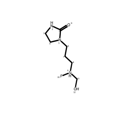 O=C1NCCN1CCC[SiH](F)CO